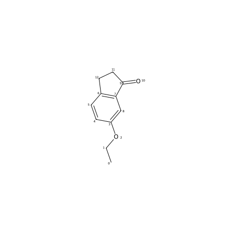 CCOc1ccc2c(c1)C(=O)CC2